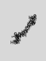 C=CCn1c(=O)c2cnc(Nc3ccc4c(c3)CCN([C@H]3CC[C@H](N5CCc6ccc7c(C8CCC(=O)NC8=O)noc7c6CC5)CC3)C4)nc2n1-c1ccc2c(n1)[C@@](O)(CC)CC2